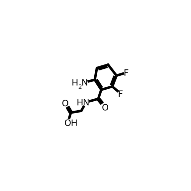 Nc1ccc(F)c(F)c1C(=O)NCC(=O)O